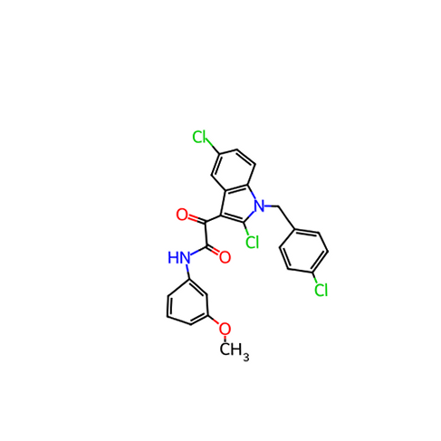 COc1cccc(NC(=O)C(=O)c2c(Cl)n(Cc3ccc(Cl)cc3)c3ccc(Cl)cc23)c1